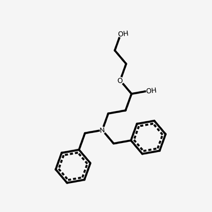 OCCOC(O)CCN(Cc1ccccc1)Cc1ccccc1